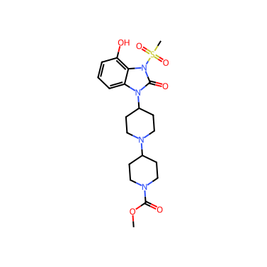 COC(=O)N1CCC(N2CCC(n3c(=O)n(S(C)(=O)=O)c4c(O)cccc43)CC2)CC1